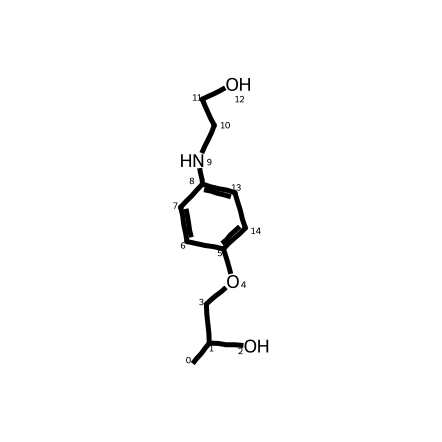 CC(O)COc1ccc(NCCO)cc1